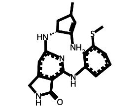 CSc1cccc(Nc2nc(N[C@@H]3CC(C)C=C3N)cc3c2C(=O)NC3)c1